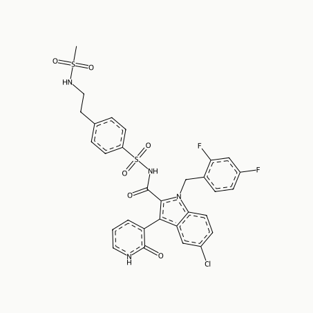 CS(=O)(=O)NCCc1ccc(S(=O)(=O)NC(=O)c2c(-c3ccc[nH]c3=O)c3cc(Cl)ccc3n2Cc2ccc(F)cc2F)cc1